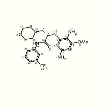 COc1nc(N)nc(N[C@@H](CN2CCOCC2)C(=O)Nc2cccc(C(F)(F)F)c2)c1N